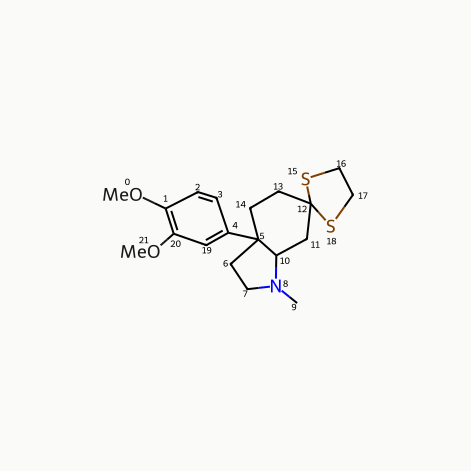 COc1ccc(C23CCN(C)C2CC2(CC3)SCCS2)cc1OC